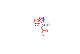 COC(=O)CC(=C=O)C(N)(OC(C)(C)C)C(=O)O